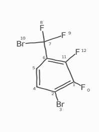 Fc1c(Br)ccc(C(F)(F)Br)c1F